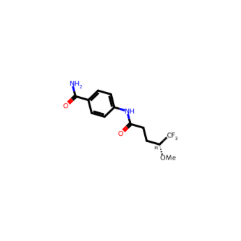 CO[C@H](CCC(=O)Nc1ccc(C(N)=O)cc1)C(F)(F)F